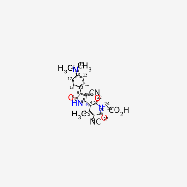 [C-]#[N+]C1=C(C)/C(=C2\NC(=O)C(c3ccc(N(C)C)cc3)=C2C#N)C(=O)N(CC(=O)O)C1=O